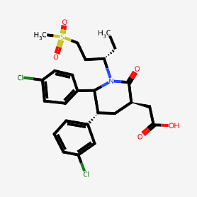 CC[C@@H](CCS(C)(=O)=O)N1C(=O)[C@@H](CC(=O)O)C[C@H](c2cccc(Cl)c2)C1c1ccc(Cl)cc1